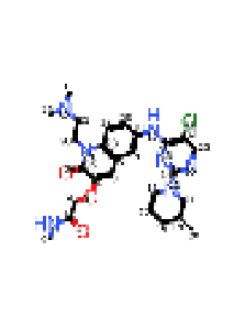 CNC(=O)COc1cc2cc(Nc3nc(N4CCC[C@H](C)C4)ncc3Cl)ccc2n(CCN(C)C)c1=O